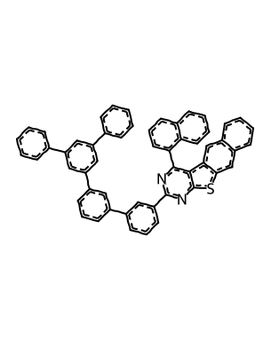 c1ccc(-c2cc(-c3ccccc3)cc(-c3cccc(-c4cccc(-c5nc(-c6cccc7ccccc67)c6c(n5)sc5cc7ccccc7cc56)c4)c3)c2)cc1